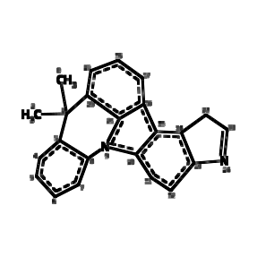 CC1(C)c2ccccc2-n2c3ccc4c(c3c3cccc1c32)CC=N4